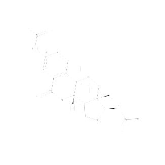 CC(=O)Oc1ccc2c(c1)C(=O)C[C@@H]1[C@@H]2CC[C@]2(C)[C@@H](OC(C)=O)CC[C@@H]12